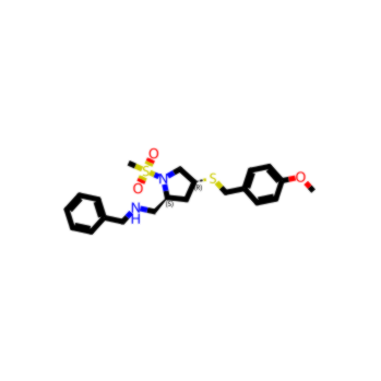 COc1ccc(CS[C@@H]2C[C@@H](CNCc3ccccc3)N(S(C)(=O)=O)C2)cc1